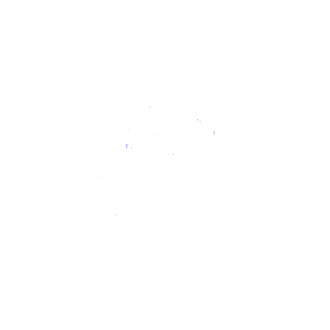 CN(C(=O)COc1ccccc1N(CC(=O)N(C)c1ccccc1)C(=O)CNC(=O)OC(C)(C)C)c1ccccc1